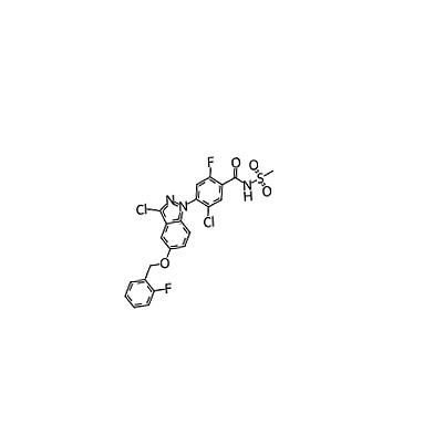 CS(=O)(=O)NC(=O)c1cc(Cl)c(-n2nc(Cl)c3cc(OCc4ccccc4F)ccc32)cc1F